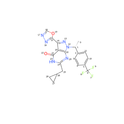 C[C@H](c1ccc(C(F)(F)F)cc1)n1nc(-c2nnco2)c2c(=O)[nH]c(CC3CC3)nc21